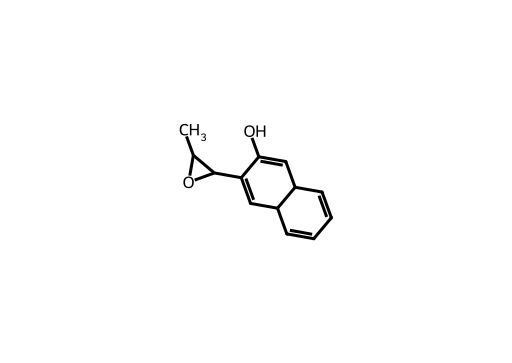 CC1OC1C1=CC2C=CC=CC2C=C1O